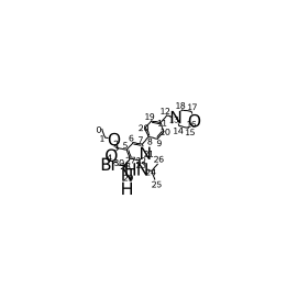 CCOC(=O)c1cc(-c2ccc(CN3CCOCC3)cc2)nc(NC(C)C)c1C(=N)Br